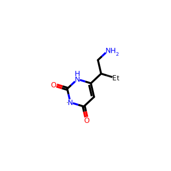 CCC(CN)C1=CC(=O)[N]C(=O)N1